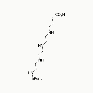 CCCCCNCCNCCNCCNCCCC(=O)O